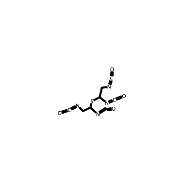 O=C=NCC(N=C=O)SC(CN=C=O)N=C=O